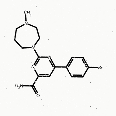 CN1CCCN(c2nc(C(N)=O)cc(-c3ccc(Br)cc3)n2)CC1